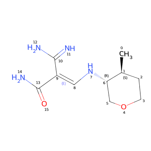 C[C@H]1CCOC[C@@H]1N/C=C(\C(=N)N)C(N)=O